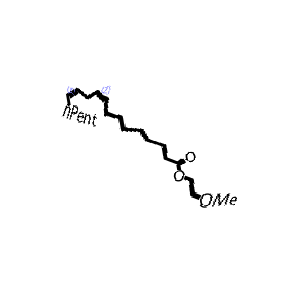 CCCCC/C=C\C/C=C\CCCCCCCC(=O)OCCOC